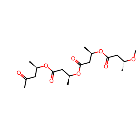 CO[C@H](C)CC(=O)O[C@H](C)CC(=O)O[C@@H](C)CC(=O)O[C@H](C)CC(C)=O